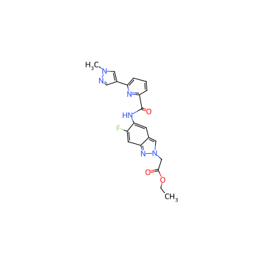 CCOC(=O)Cn1cc2cc(NC(=O)c3cccc(-c4cnn(C)c4)n3)c(F)cc2n1